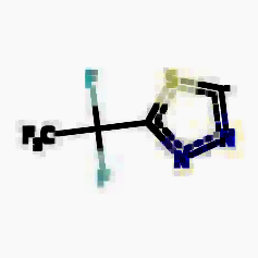 FC(F)(F)C(F)(F)c1nn[c]s1